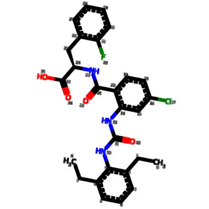 CCc1cccc(CC)c1NC(=O)Nc1cc(Cl)ccc1C(=O)N[C@H](Cc1ccccc1F)C(=O)O